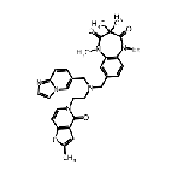 CCN1C(=O)C(C)(C)C(=O)N(C)c2cc(CN(CCn3ccc4oc(C)cc4c3=O)Cc3ccc4nccn4c3)ccc21